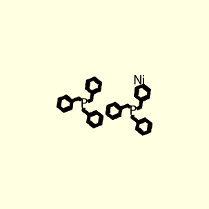 [Ni].c1ccc(CP(Cc2ccccc2)Cc2ccccc2)cc1.c1ccc(CP(Cc2ccccc2)Cc2ccccc2)cc1